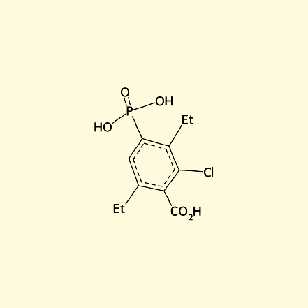 CCc1cc(P(=O)(O)O)c(CC)c(Cl)c1C(=O)O